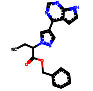 N#CCC(C(=O)OCc1ccccc1)n1cc(-c2ncnc3[nH]ccc23)cn1